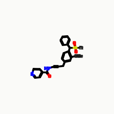 CCS(=O)(=O)C(c1ccccc1)c1ccc(CC#CNC(=O)c2ccncc2)cc1OC